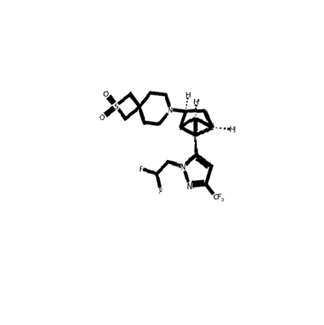 O=S1(=O)CC2(CCN([C@H]3C[C@@H]4[C@@H]5C3[C@@]45c3cc(C(F)(F)F)nn3CC(F)F)CC2)C1